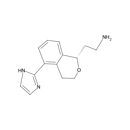 NCC[C@@H]1OCCc2c(-c3ncc[nH]3)cccc21